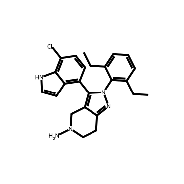 CCc1cccc(CC)c1-n1nc2c(c1-c1ccc(Cl)c3[nH]ccc13)CN(N)CC2